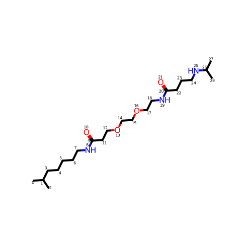 CC(C)CCCCCNC(=O)CCOCCOCCNC(=O)CCCNC(C)C